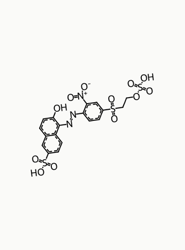 O=[N+]([O-])c1cc(S(=O)(=O)CCOS(=O)(=O)O)ccc1N=Nc1c(O)ccc2cc(S(=O)(=O)O)ccc12